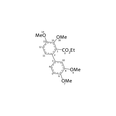 CCOC(=O)c1c(-c2ccc(OC)c(OC)c2)ccc(OC)c1OC